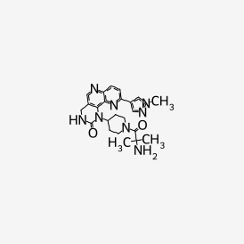 Cn1cc(-c2ccc3ncc4c(c3n2)N(C2CCN(C(=O)C(C)(C)N)CC2)C(=O)NC4)cn1